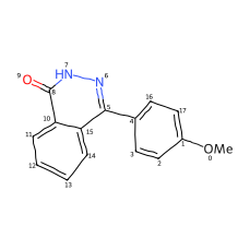 COc1ccc(-c2n[nH]c(=O)c3ccccc23)cc1